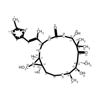 CC(=Cc1csc(C)n1)[C@@H]1C[C@H]2[C@@H](CCC[C@H](C)[C@H](O)[C@@H](C)C(=O)C(C)(C)[C@@H](O)CC(=O)O1)N2C(=O)O